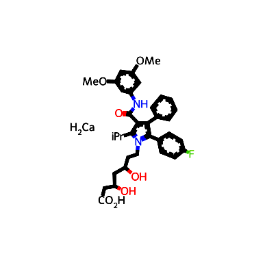 COc1cc(NC(=O)c2c(-c3ccccc3)c(-c3ccc(F)cc3)n(CCC(O)CC(O)CC(=O)O)c2C(C)C)cc(OC)c1.[CaH2]